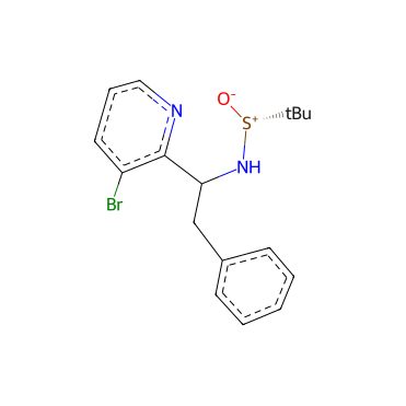 CC(C)(C)[S@@+]([O-])NC(Cc1ccccc1)c1ncccc1Br